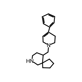 C1=C(c2ccccc2)CCN(CC2CCNCC23CCCC3)C1